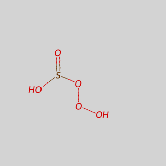 O=S(O)OOO